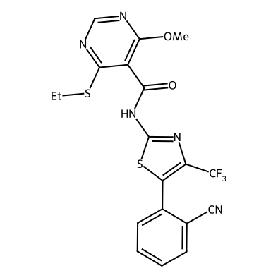 CCSc1ncnc(OC)c1C(=O)Nc1nc(C(F)(F)F)c(-c2ccccc2C#N)s1